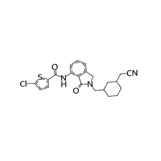 N#CCC1CCCC(CN2Cc3cccc(NC(=O)c4ccc(Cl)s4)c3C2=O)C1